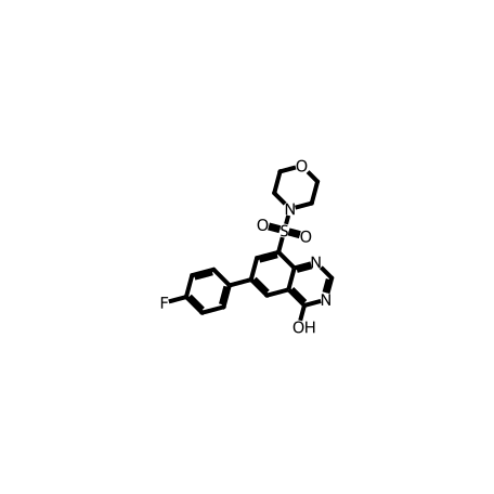 O=S(=O)(c1cc(-c2ccc(F)cc2)cc2c(O)ncnc12)N1CCOCC1